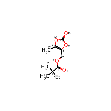 CCC(C)(C)C(=O)OCc1oc(=O)oc1C